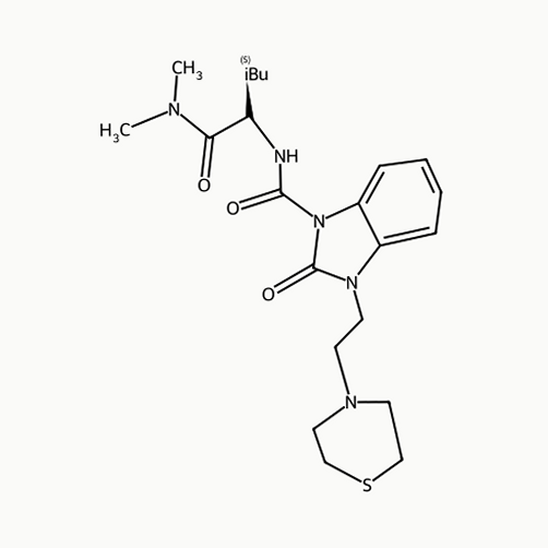 CC[C@H](C)C(NC(=O)n1c(=O)n(CCN2CCSCC2)c2ccccc21)C(=O)N(C)C